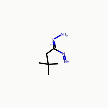 CC(C)(C)C/C(N=N)=N/N